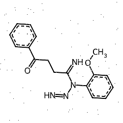 COc1ccccc1N(N=N)C(=N)CCC(=O)c1ccccc1